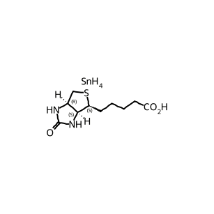 O=C(O)CCCC[C@@H]1SC[C@@H]2NC(=O)N[C@@H]21.[SnH4]